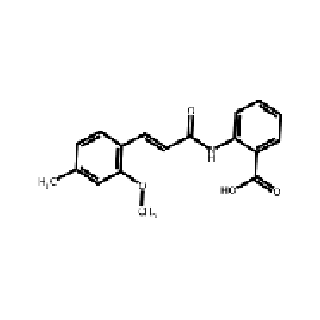 COc1cc(C)ccc1C=CC(=O)Nc1ccccc1C(=O)O